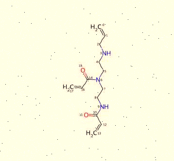 C=CCNCCN(CCNC(=O)C=C)C(=O)C=C